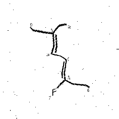 CC(C)=C/C=C(/C)F